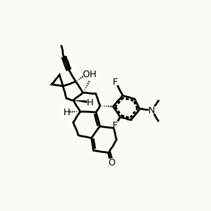 CC#C[C@]1(O)C2(CC2)C[C@H]2[C@@H]3CCC4=CC(=O)CCC4=C3[C@@H](c3c(F)cc(N(C)C)cc3F)C[C@@]21C